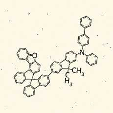 CC1(C)c2cc(-c3ccc4c(c3)C3(c5ccccc5-4)c4ccccc4-c4c3ccc3oc5ccccc5c43)ccc2-c2ccc(N(c3ccccc3)c3ccc(-c4ccccc4)cc3)cc21